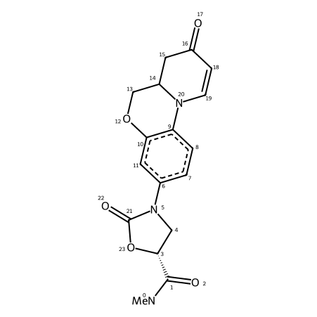 CNC(=O)[C@H]1CN(c2ccc3c(c2)OCC2CC(=O)C=CN32)C(=O)O1